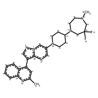 Cc1cc(-c2cnn3cc(N4CCC(N5CCN(C)CC(F)(F)C5)CC4)cnc23)c2ccccc2n1